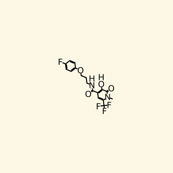 Cn1c(C(F)(F)F)cc(C(=O)NCCCOc2ccc(F)cc2)c(O)c1=O